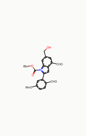 COc1ccc(C=O)c(-c2cc3c(C=O)cc(CO)cc3n2C(=O)OC(C)(C)C)c1